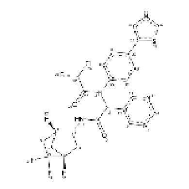 O=C(N[C@@H]1C[C@H]2C[C@@H]1CC2(F)F)C(c1cncnc1)N(C(=O)[C@H](F)Cl)c1ccc(-c2cncs2)cc1